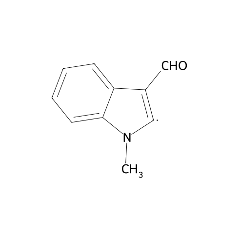 Cn1[c]c(C=O)c2ccccc21